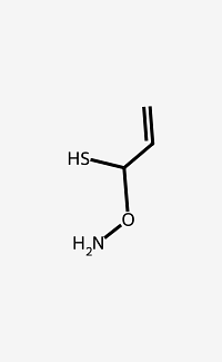 C=CC(S)ON